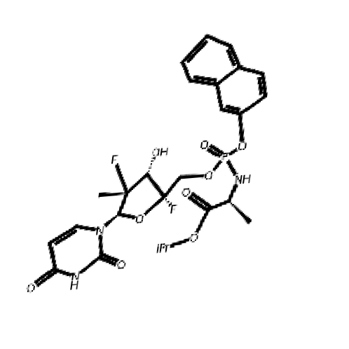 CC(C)OC(=O)[C@H](C)NP(=O)(OC[C@@]1(F)O[C@@H](n2ccc(=O)[nH]c2=O)[C@](C)(F)[C@@H]1O)Oc1ccc2ccccc2c1